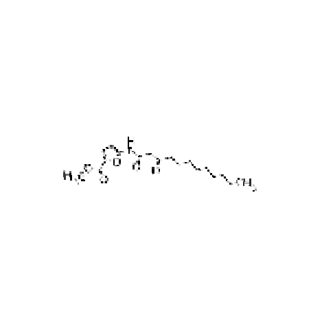 CCCCCCCCCC(=O)CC(=O)Nc1ccc(C(=O)OC)o1